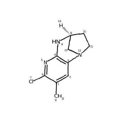 Cc1cc2c(nc1Cl)N[C@H]1CCN2C1